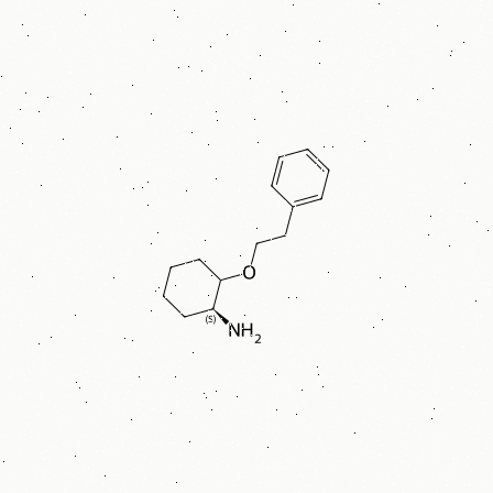 N[C@H]1CCCCC1OCCc1ccccc1